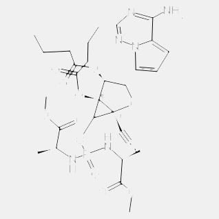 CCCC(=O)O[C@H]1[C@H](c2ccc3c(N)ncnn23)O[C@]2(C#N)C(OP(=O)(N[C@@H](C)C(=O)OC)N[C@@H](C)C(=O)OC)[C@]12OC(=O)CCC